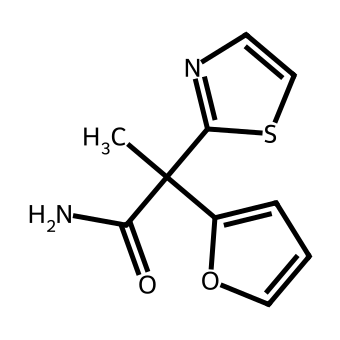 CC(C(N)=O)(c1ccco1)c1nccs1